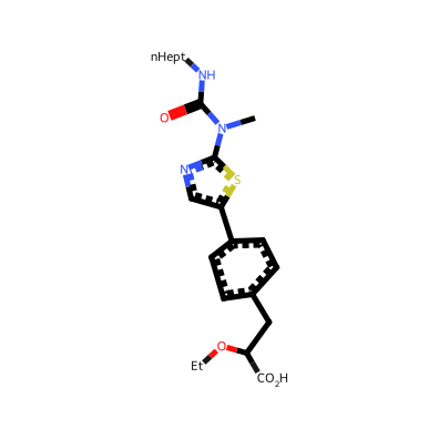 CCCCCCCNC(=O)N(C)c1ncc(-c2ccc(CC(OCC)C(=O)O)cc2)s1